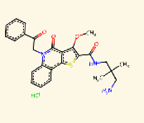 COc1c(C(=O)NCC(C)(C)CN)sc2c1c(=O)n(CC(=O)c1ccccc1)c1ccccc21.Cl